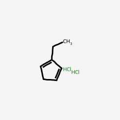 CCC1=CCC=C1.Cl.Cl